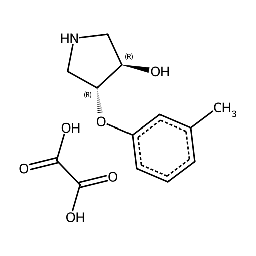 Cc1cccc(O[C@@H]2CNC[C@H]2O)c1.O=C(O)C(=O)O